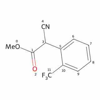 COC(=O)C(C#N)c1ccccc1C(F)(F)F